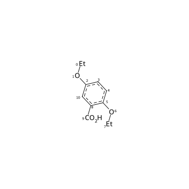 CCOc1ccc(OCC)c(C(=O)O)c1